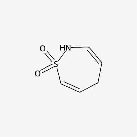 O=S1(=O)C=CCC=CN1